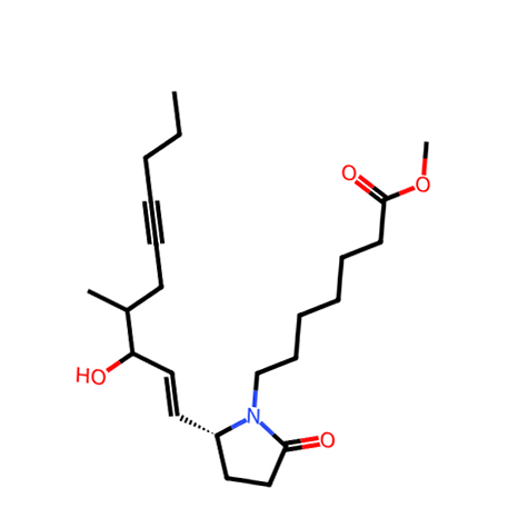 CCCC#CCC(C)C(O)/C=C/[C@H]1CCC(=O)N1CCCCCCC(=O)OC